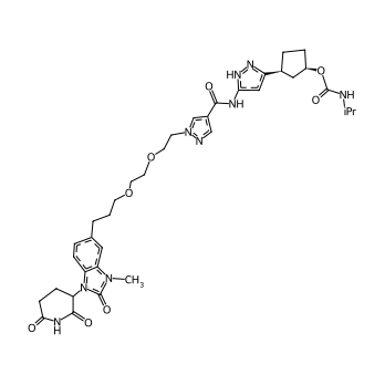 CC(C)NC(=O)O[C@@H]1CC[C@H](c2cc(NC(=O)c3cnn(CCOCCOCCCc4ccc5c(c4)n(C)c(=O)n5C4CCC(=O)NC4=O)c3)[nH]n2)C1